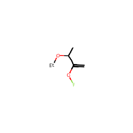 C=C(OF)C(C)OCC